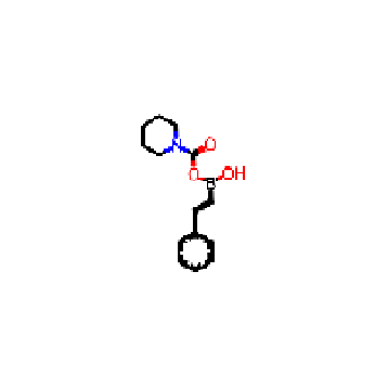 O=C(OB(O)C=Cc1ccccc1)N1CCCCC1